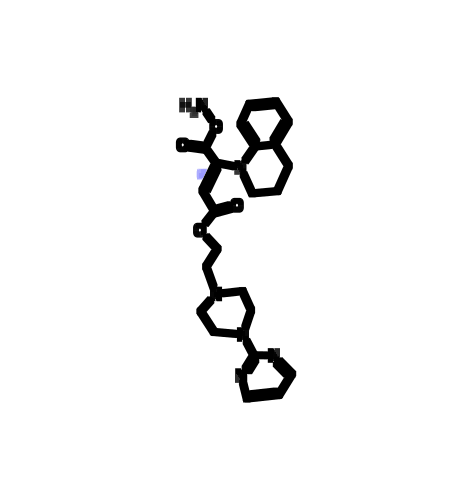 NOC(=O)/C(=C/C(=O)OCCN1CCN(c2ncccn2)CC1)N1CCCc2ccccc21